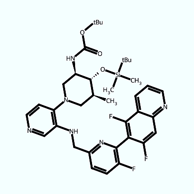 C[C@H]1CN(c2ccncc2NCc2ccc(F)c(-c3c(F)cc4ncccc4c3F)n2)C[C@@H](NC(=O)OC(C)(C)C)[C@@H]1O[Si](C)(C)C(C)(C)C